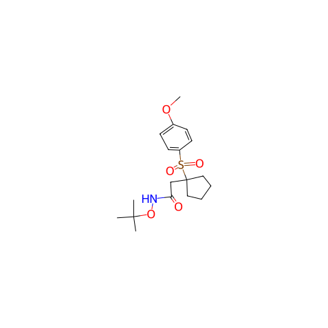 COc1ccc(S(=O)(=O)C2(CC(=O)NOC(C)(C)C)CCCC2)cc1